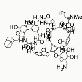 CN[C@H](CC(C)C)C(=O)N[C@H]1C(=O)C[C@@H](CC(=O)NC(N)=O)C(=O)N[C@H]2C(=O)C[C@H]3C(=O)N[C@H](C(=O)N[C@H](C(=O)CC4C5CC6CC(C5)CC4C6)c4cc(O)cc(O)c4-c4cc3ccc4O)[C@H](O)c3ccc(c(Cl)c3)Oc3cc2cc(c3OC2OC(CN)C(O)C(O)C2O)Oc2ccc(cc2Cl)[C@H]1O